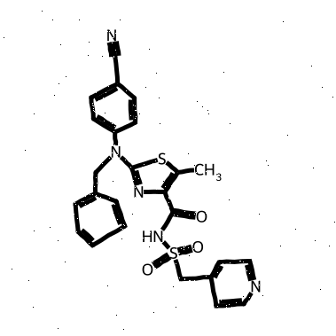 Cc1sc(N(Cc2ccccc2)c2ccc(C#N)cc2)nc1C(=O)NS(=O)(=O)Cc1ccncc1